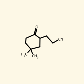 CC1(C)CCC(=O)C(CCC#N)C1